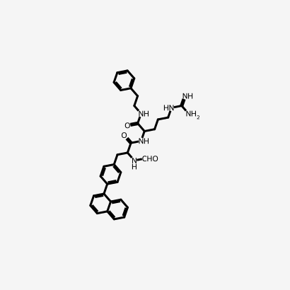 N=C(N)NCCCC(NC(=O)C(Cc1ccc(-c2cccc3ccccc23)cc1)NC=O)C(=O)NCCc1ccccc1